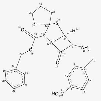 Cc1ccc(S(=O)(=O)O)cc1.NC1C(=O)N2C(C(=O)OCc3ccccc3)C3(CCCC3)S[C@@H]12